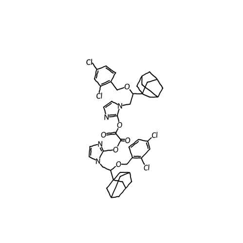 O=C(Oc1nccn1CC(OCc1ccc(Cl)cc1Cl)C12CC3CC(CC(C3)C1)C2)C(=O)Oc1nccn1CC(OCc1ccc(Cl)cc1Cl)C12CC3CC(CC(C3)C1)C2